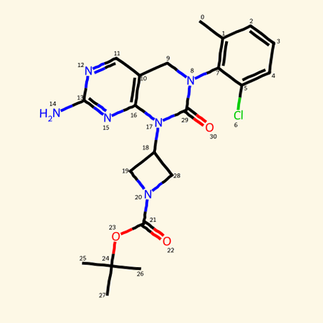 Cc1cccc(Cl)c1N1Cc2cnc(N)nc2N(C2CN(C(=O)OC(C)(C)C)C2)C1=O